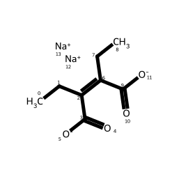 CC/C(C(=O)[O-])=C(\CC)C(=O)[O-].[Na+].[Na+]